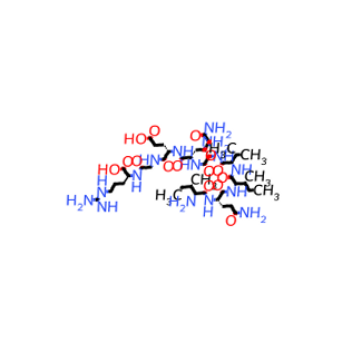 CC[C@H](C)[C@H](N)C(=O)N[C@@H](CCC(N)=O)C(=O)N[C@H](C(=O)N[C@H](C(=O)N[C@@H](CCC(N)=O)C(=O)N[C@@H](CC(N)=O)C(=O)N[C@@H](CCC(=O)O)C(=O)NCC(=O)N[C@@H](CCCNC(=N)N)C(=O)O)C(C)C)[C@@H](C)CC